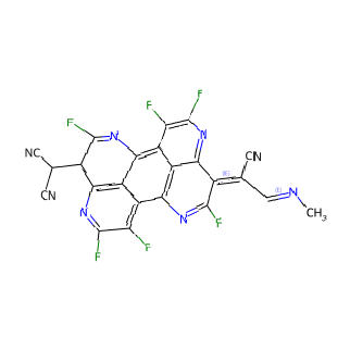 C/N=C/C(C#N)=c1\c(F)nc2c3c(F)c(F)nc4c3c(c3c(F)c(F)nc1c32)N=C(F)C4C(C#N)C#N